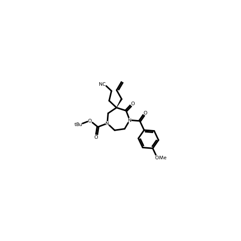 C=CC[C@]1(CCC#N)CN(C(=O)OC(C)(C)C)CCN(C(=O)c2ccc(OC)cc2)C1=O